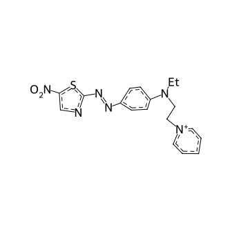 CCN(CC[n+]1ccccc1)c1ccc(/N=N/c2ncc([N+](=O)[O-])s2)cc1